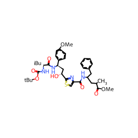 CC[C@H](C)[C@H](NC(=O)OC(C)(C)C)C(=O)N[C@H](C[C@@H](O)c1nc(C(=O)NC(Cc2ccccc2)CC(C)C(=O)OC)cs1)c1ccc(OC)cc1